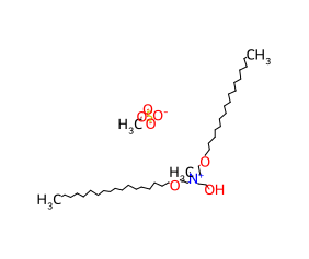 CCCCCCCCCCCCCCCCCCOCC[N+](C)(CCO)CCOCCCCCCCCCCCCCCCCCC.COS(=O)(=O)[O-]